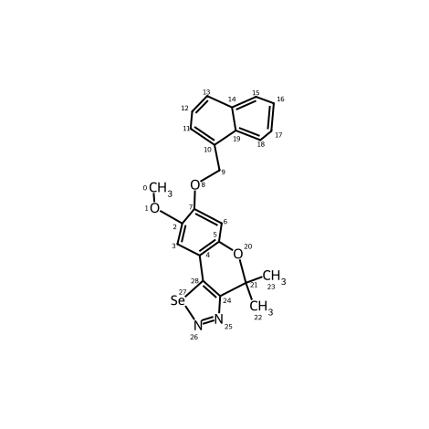 COc1cc2c(cc1OCc1cccc3ccccc13)OC(C)(C)c1nn[se]c1-2